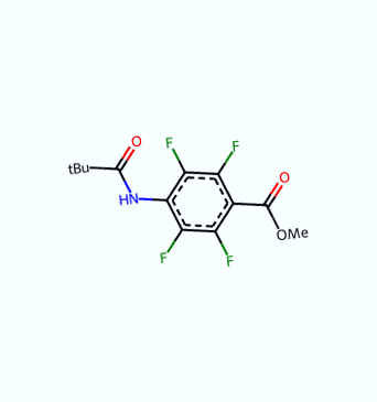 COC(=O)c1c(F)c(F)c(NC(=O)C(C)(C)C)c(F)c1F